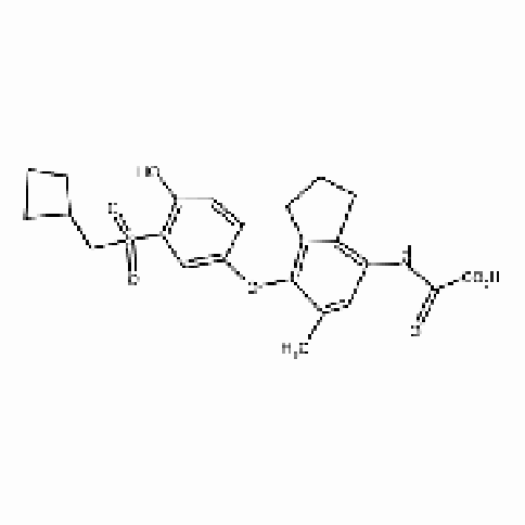 Cc1cc(NC(=O)C(=O)O)c2c(c1Oc1ccc(O)c(S(=O)(=O)CC3CCC3)c1)CCC2